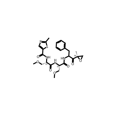 COC[C@H](NC(=O)c1cnc(C)s1)C(=O)N[C@@H](COC)C(=O)NC(Cc1ccccc1)C(=O)[C@@]1(C)CO1